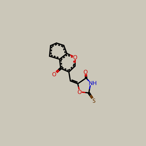 O=C1NC(=S)OC1=Cc1coc2ccccc2c1=O